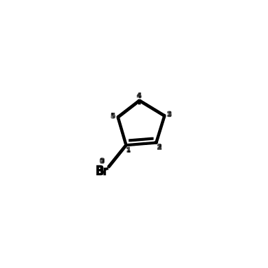 BrC1=CC[CH]C1